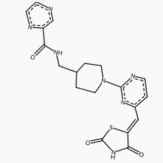 O=C1NC(=O)C(=Cc2ccnc(N3CCC(CNC(=O)c4cnccn4)CC3)n2)S1